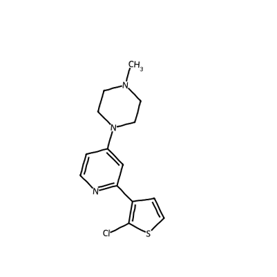 CN1CCN(c2ccnc(-c3ccsc3Cl)c2)CC1